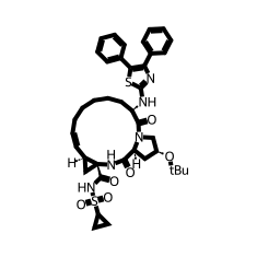 CC(C)(C)O[C@@H]1C[C@H]2C(=O)N[C@]3(C(=O)NS(=O)(=O)C4CC4)C[C@H]3/C=C\CCCCC[C@H](Nc3nc(-c4ccccc4)c(-c4ccccc4)s3)C(=O)N2C1